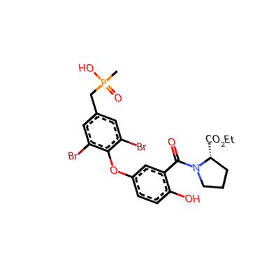 CCOC(=O)[C@@H]1CCCN1C(=O)c1cc(Oc2c(Br)cc(CP(C)(=O)O)cc2Br)ccc1O